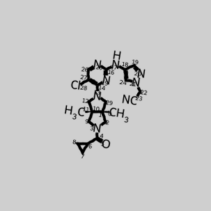 C[C@@]12CN(C(=O)C3CC3)C[C@]1(C)CN(c1nc(Nc3cnn(CC#N)c3)ncc1Cl)C2